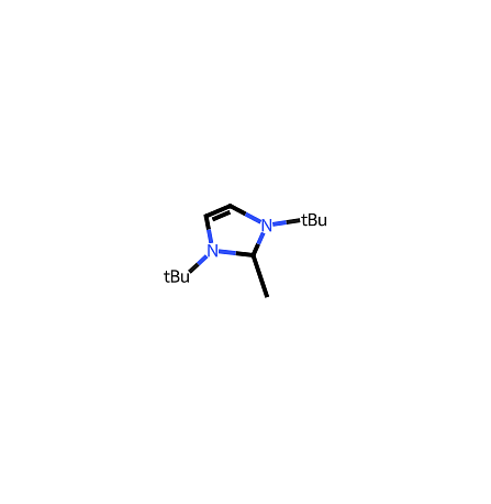 CC1N(C(C)(C)C)C=CN1C(C)(C)C